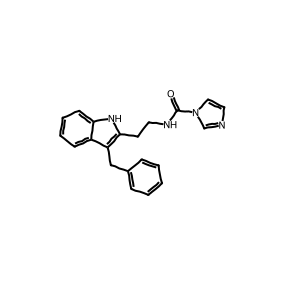 O=C(NCCc1[nH]c2ccccc2c1Cc1ccccc1)n1ccnc1